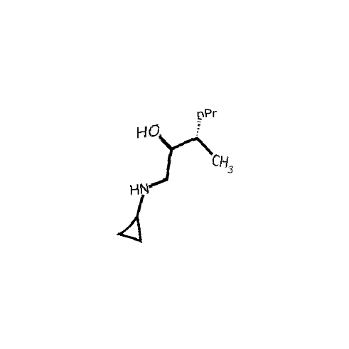 CCC[C@H](C)C(O)CNC1CC1